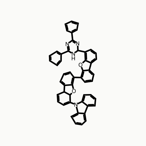 C1=CC2c3cccc(-c4cccc5c4oc4c(C6N=C(c7ccccc7)N=C(c7ccccc7)N6)cccc45)c3OC2C(n2c3ccccc3c3ccccc32)=C1